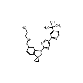 CC(C)(O)c1ccnc(-c2cnc(N3CC4(CC4)c4ccc(SNCCO)cc43)nc2)c1